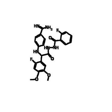 COc1cc(F)c(C(Nc2ccc(C(=N)N)cc2)C(=O)NNC(=O)c2ccccc2F)cc1OC